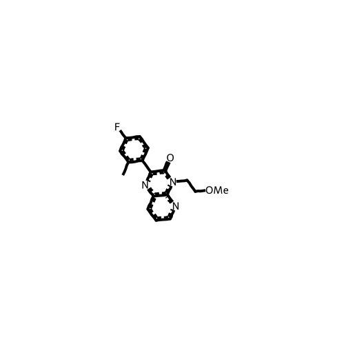 COCCn1c(=O)c(-c2ccc(F)cc2C)nc2cccnc21